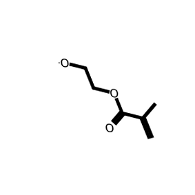 C=C(C)C(=O)OCC[O]